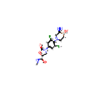 CNC(=O)[C@H]1CN(c2cc(F)c(N3CC[S+]([O-])C(=N)C3)c(F)c2)C(=O)O1